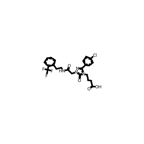 O=C(O)CCCn1c(-c2ccc(Cl)cc2)nn(CC(=O)NCCc2ccccc2C(F)(F)F)c1=O